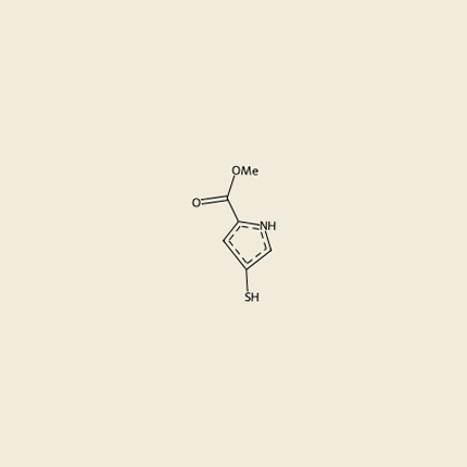 COC(=O)c1cc(S)c[nH]1